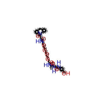 CC(C)C(NC(=O)CCOCCOCCOCCOCCNC(=O)CCC(=O)N1Cc2ccccc2C#Cc2ccccc21)C(=O)NCC(=O)Nc1ccc(CO)cc1